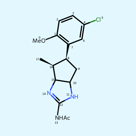 COc1ccc(Cl)cc1[C@H]1CC2NC(NC(C)=O)=NC2[C@H]1C